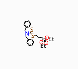 CCO[Si](CCCSC(=S)N(Cc1ccccc1)Cc1ccccc1)(OCC)OCC